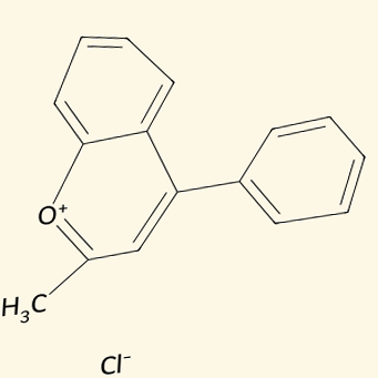 Cc1cc(-c2ccccc2)c2ccccc2[o+]1.[Cl-]